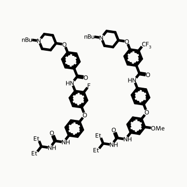 CCCCN1CCC(Oc2ccc(C(=O)Nc3ccc(Oc4ccc(NC(=O)NC(CC)CC)cc4)cc3F)cc2)CC1.CCCCN1CCC(Oc2ccc(C(=O)Nc3ccc(Oc4ccc(NC(=O)NC(CC)CC)cc4OC)cc3)cc2C(F)(F)F)CC1